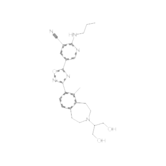 CCCNc1ncc(-c2nc(-c3ccc4c(c3C)CCN(C(CO)CO)CC4)no2)cc1C#N